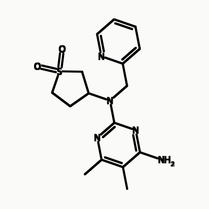 Cc1nc(N(Cc2ccccn2)C2CCS(=O)(=O)C2)nc(N)c1C